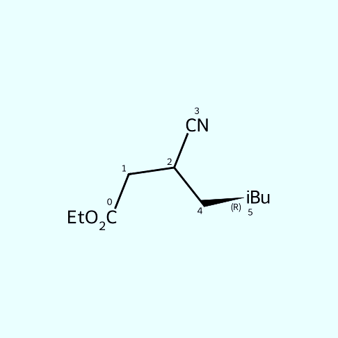 CCOC(=O)CC(C#N)C[C@H](C)CC